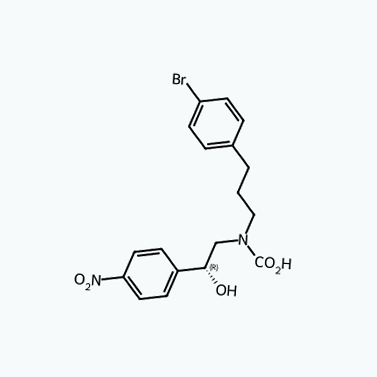 O=C(O)N(CCCc1ccc(Br)cc1)C[C@H](O)c1ccc([N+](=O)[O-])cc1